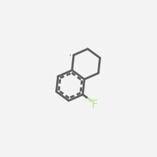 Fc1cccc2c1CCC[CH]2